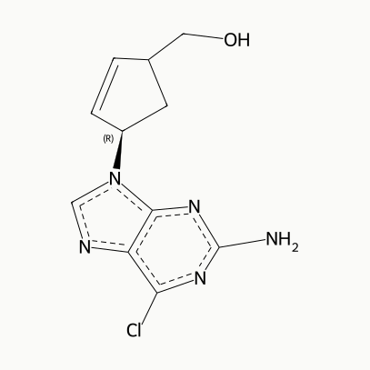 Nc1nc(Cl)c2ncn([C@H]3C=CC(CO)C3)c2n1